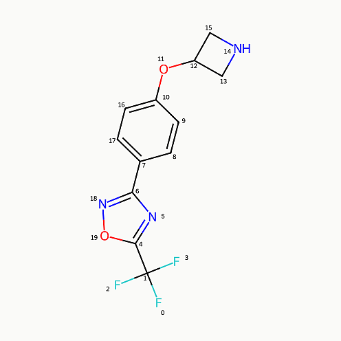 FC(F)(F)c1nc(-c2ccc(OC3CNC3)cc2)no1